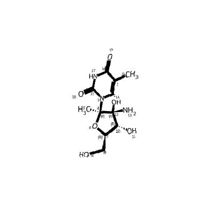 Cc1cn([C@]2(C)O[C@H](CO)[C@@H](O)[C@@]2(N)O)c(=O)[nH]c1=O